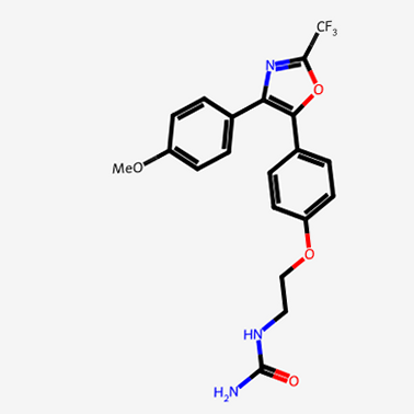 COc1ccc(-c2nc(C(F)(F)F)oc2-c2ccc(OCCNC(N)=O)cc2)cc1